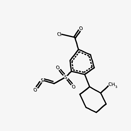 CC1CCCCC1c1ccc(C(=O)Cl)cc1S(=O)(=O)C=S=O